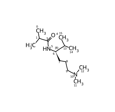 CC(C)C(=O)N[C@H](CCCN(C)C)C(C)C